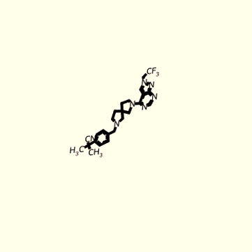 CC(C)(C#N)c1ccc(CN2CCC3(CCN(c4ncnc5nn(CC(F)(F)F)cc45)C3)C2)cc1